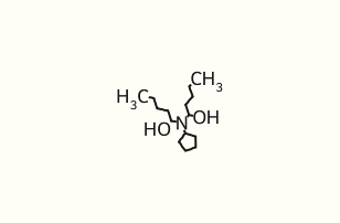 CCCCC(O)N(C(O)CCCC)C1CCCC1